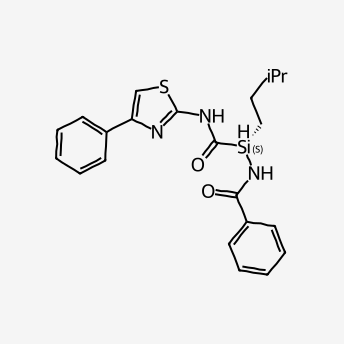 CC(C)CC[Si@H](NC(=O)c1ccccc1)C(=O)Nc1nc(-c2ccccc2)cs1